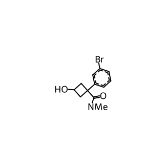 CNC(=O)C1(c2cccc(Br)c2)CC(O)C1